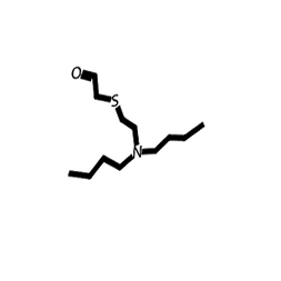 CCCCN(CCCC)CCSCC=O